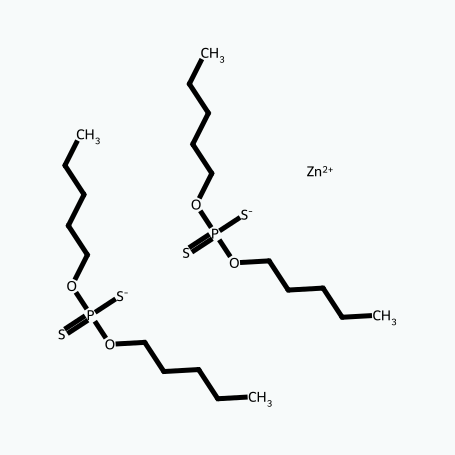 CCCCCOP(=S)([S-])OCCCCC.CCCCCOP(=S)([S-])OCCCCC.[Zn+2]